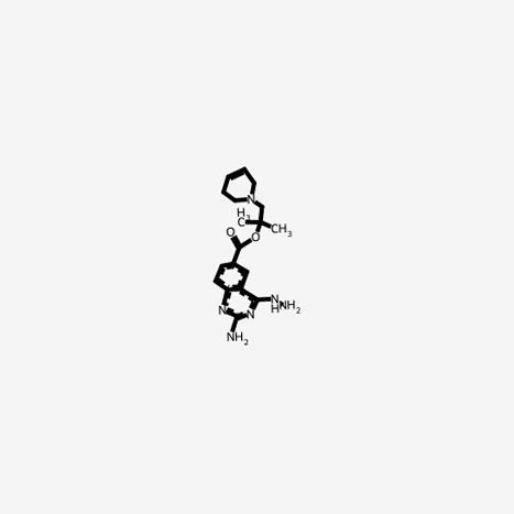 CC(C)(CN1CC=CCC1)OC(=O)c1ccc2nc(N)nc(NN)c2c1